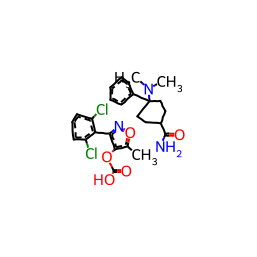 CN(C)C1(c2ccccc2)CCC(C(N)=O)CC1.Cc1onc(-c2c(Cl)cccc2Cl)c1OC(=O)O